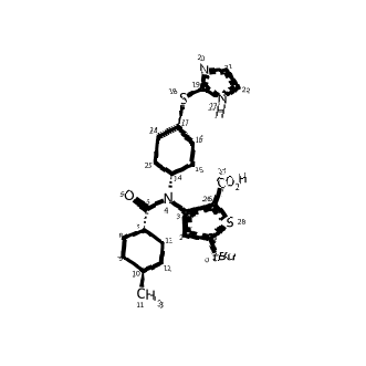 CC(C)(C)c1cc(N(C(=O)[C@H]2CC[C@H](C)CC2)[C@H]2CC[C@H](Sc3ncc[nH]3)CC2)c(C(=O)O)s1